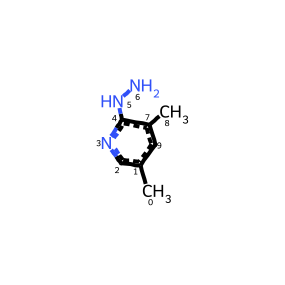 Cc1cnc(NN)c(C)c1